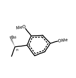 COc1ccc([C@H](C)C(C)(C)C)c(OC)c1